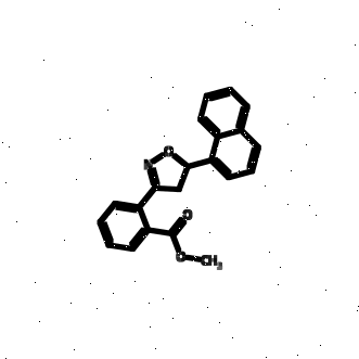 COC(=O)c1ccccc1C1=NOC(c2cccc3ccccc23)C1